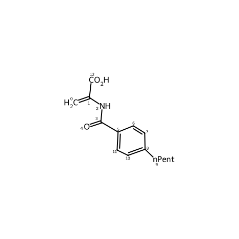 C=C(NC(=O)c1ccc(CCCCC)cc1)C(=O)O